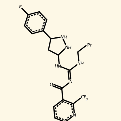 CC(C)CN/C(=N/C(=O)c1cccnc1C(F)(F)F)NC1CC(c2ccc(F)cc2)NN1